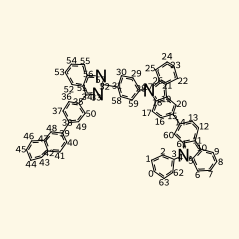 c1ccc(-n2c3ccccc3c3ccc(-c4ccc5c(c4)c4ccccc4n5-c4ccc(-c5nc(-c6ccc(-c7ccc8ccccc8c7)cc6)c6ccccc6n5)cc4)cc32)cc1